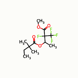 CCC(C)(C)C(=O)OC(C)C(F)(C(=O)OC)C(F)(F)F